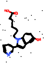 O=C(O)CCCCCn1c(-c2cccnc2)cc2cc(O)ccc21